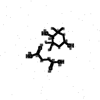 CC1(C)CC(O)CC(C)(C)N1O.O=C(O)CCC(=O)O